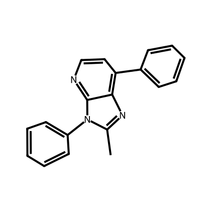 Cc1nc2c(-c3ccccc3)ccnc2n1-c1ccccc1